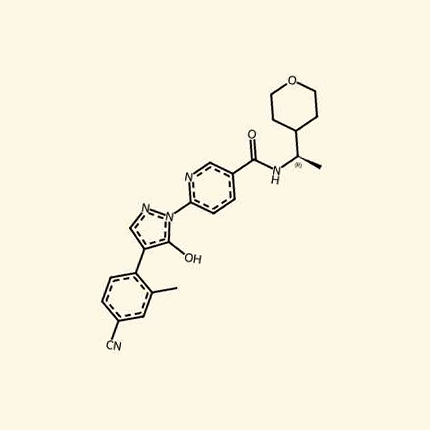 Cc1cc(C#N)ccc1-c1cnn(-c2ccc(C(=O)N[C@H](C)C3CCOCC3)cn2)c1O